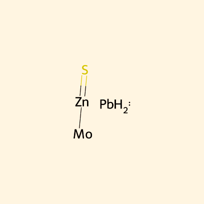 [PbH2].[S]=[Zn][Mo]